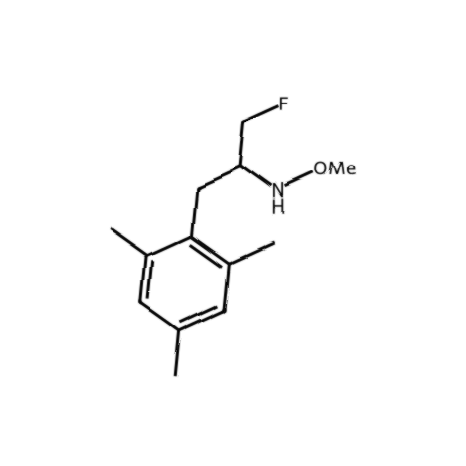 CONC(CF)Cc1c(C)cc(C)cc1C